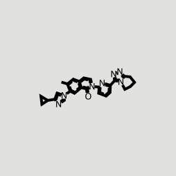 Cc1cc2ccn(-c3cccc(-c4nnc5n4CCCC5)n3)c(=O)c2cc1-n1cnc(C2CC2)c1